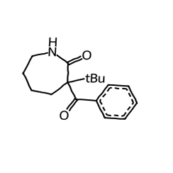 CC(C)(C)C1(C(=O)c2ccccc2)CCCCNC1=O